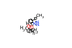 Cn1cnnc1[C@]1(c2cccc(B3OC(C)(C)C(C)(C)O3)c2)C[C@H](C)C1